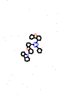 c1ccc(-c2nc(-c3cccc4oc5ccccc5c34)nc(-c3cccc4oc5c(-n6c7ccccc7c7ccccc76)cccc5c34)n2)cc1